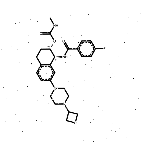 CNC(=O)O[C@H]1CCc2ccc(N3CCN(C4COC4)CC3)cc2[C@@H]1NC(=O)c1ccc(F)cc1